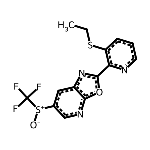 CCSc1cccnc1-c1nc2cc([S+]([O-])C(F)(F)F)cnc2o1